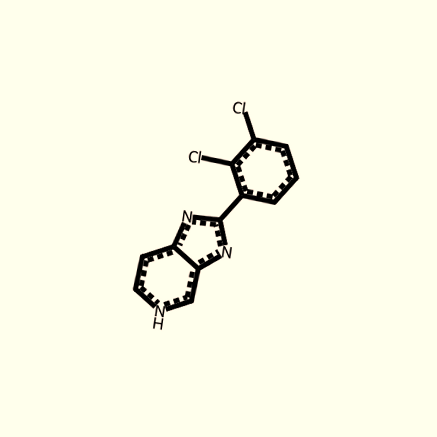 Clc1cccc(-c2nc3cc[nH]cc-3n2)c1Cl